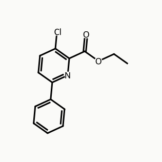 CCOC(=O)c1nc(-c2ccccc2)ccc1Cl